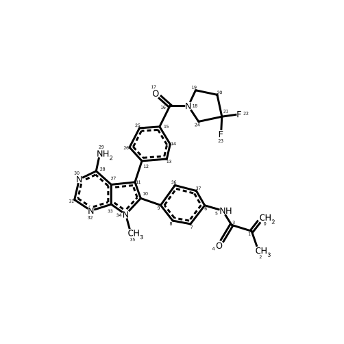 C=C(C)C(=O)Nc1ccc(-c2c(-c3ccc(C(=O)N4CCC(F)(F)C4)cc3)c3c(N)ncnc3n2C)cc1